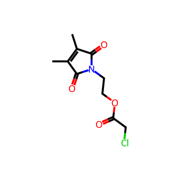 CC1=C(C)C(=O)N(CCOC(=O)CCl)C1=O